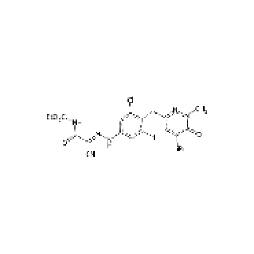 CCOC(=O)NC(=O)/C(C#N)=N/Nc1cc(Cl)c(Cc2cc(C(C)C)c(=O)n(C)n2)c(I)c1